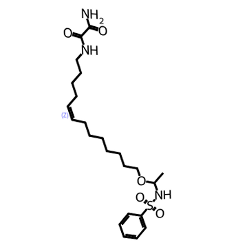 CC(NS(=O)(=O)c1ccccc1)OCCCCCCC/C=C\CCCCNC(=O)C(N)=O